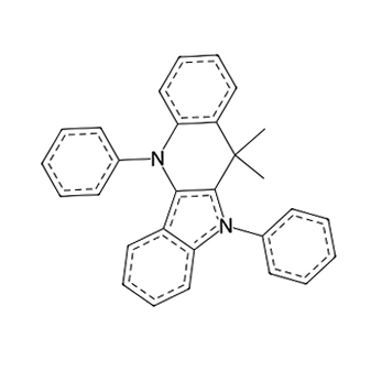 CC1(C)c2ccccc2N(c2ccccc2)c2c1n(-c1ccccc1)c1ccccc21